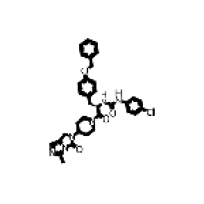 Cc1ncc2n1C(=O)N(C1CCN(C(=O)[C@@H](Cc3ccc(OCc4ccccc4)cc3)NC(=O)Nc3ccc(Cl)cc3)CC1)C2